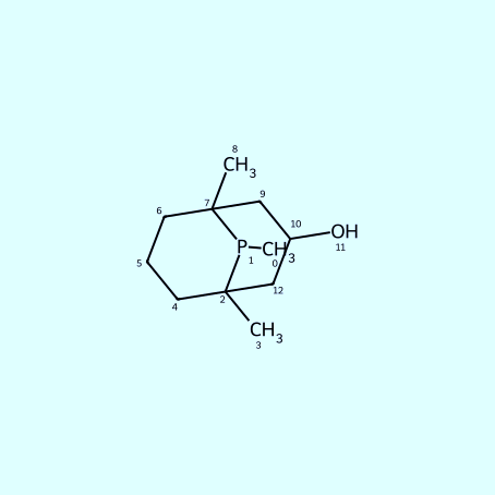 CP1C2(C)CCCC1(C)CC(O)C2